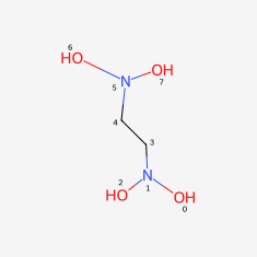 ON(O)CCN(O)O